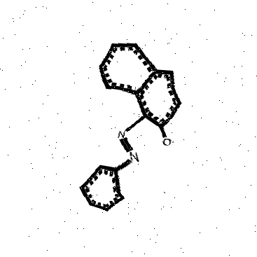 [O]c1ccc2ccccc2c1N=Nc1ccccc1